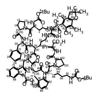 CSCC[C@H](NC(=O)OC(C)(C)C)C(=O)N1CCC[C@H]1C(=O)N[C@H](Cc1ccccc1)C(=O)N[C@@H](CCCNC(=N)NS(=O)(=O)c1c(C)c(C)c2c(c1C)CC(C)(C)O2)C(=O)N[C@H](Cc1cn(C(=O)OC(C)(C)C)c2ccccc12)C(=O)N[C@@H](Cc1ccccc1)C(=O)N[C@@H](CCCCNC(=O)OC(C)(C)C)C(=O)N1CCC[C@H]1C(=O)N[C@H](C(=O)O)C(C)C